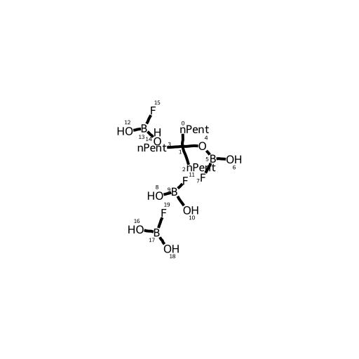 CCCCCC(CCCCC)(CCCCC)OB(O)F.OB(O)F.OB(O)F.OB(O)F